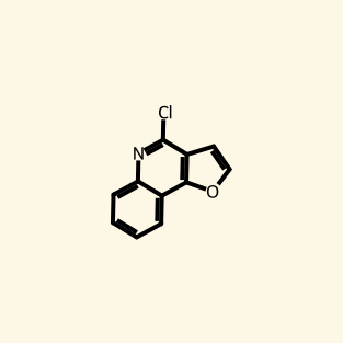 Clc1nc2ccccc2c2occc12